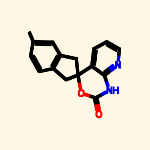 Cc1ccc2c(c1)CC1(C2)OC(=O)Nc2ncccc21